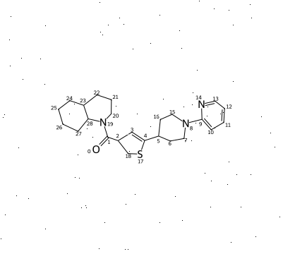 O=C(C1C=C(C2CCN(c3ccccn3)CC2)SC1)N1CCCC2CCCCC21